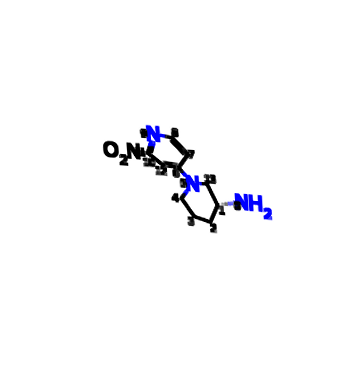 N[C@@H]1CCCN(c2ccnc([N+](=O)[O-])c2)C1